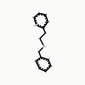 c1ccc(COCCc2ccccn2)cc1